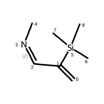 C=C(/C=N\C)[Si](C)(C)C